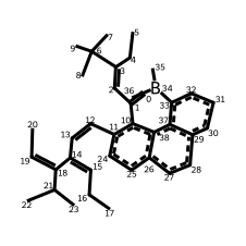 C=C(/C=C(\CC)C(C)(C)C)c1c(\C=C/C(=C/CC)C(=C\C)/C(C)C)ccc2ccc3cccc(B(C)C)c3c12